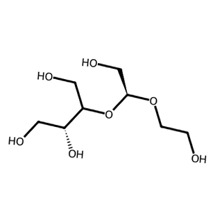 OCCO[C@H](CO)OC(CO)[C@H](O)CO